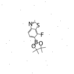 CC1(C)OB(c2ccc3n[c]sc3c2F)OC1(C)C